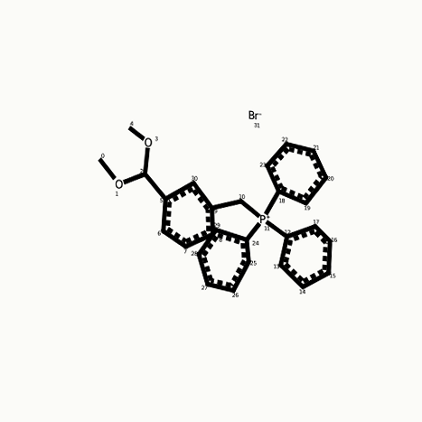 COC(OC)c1cccc(C[P+](c2ccccc2)(c2ccccc2)c2ccccc2)c1.[Br-]